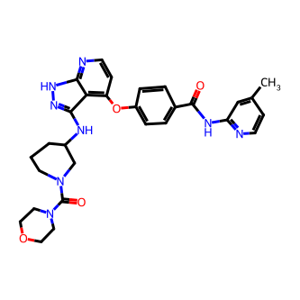 Cc1ccnc(NC(=O)c2ccc(Oc3ccnc4[nH]nc(NC5CCCN(C(=O)N6CCOCC6)C5)c34)cc2)c1